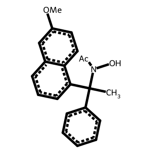 COc1ccc2c(C(C)(c3ccccc3)N(O)C(C)=O)cccc2c1